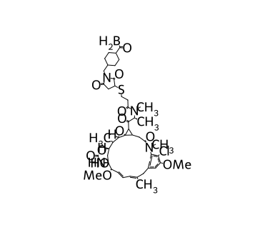 BC(=O)C1CCC(CN2C(=O)CC(SCCC(=O)N(C)[C@@H](C)C(=O)C3C4CC(=O)N(C)c5cc(cc(OC)c5Cl)C/C(C)=C/C=C/[C@@H](OC)[C@@]5(O)C[C@H](OC(=O)N5)[C@@H](C)[C@@H]5O[C@]435)C2=O)CC1